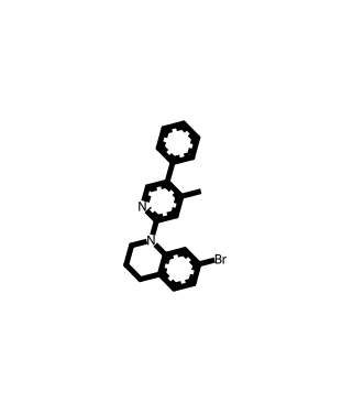 Cc1cc(N2CCCc3ccc(Br)cc32)ncc1-c1ccccc1